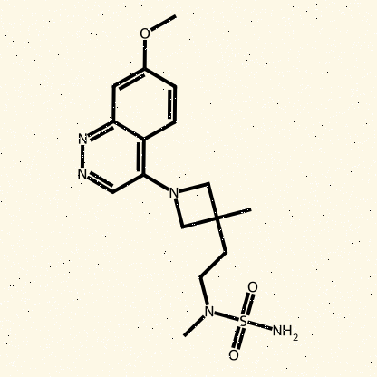 COc1ccc2c(N3CC(C)(CCN(C)S(N)(=O)=O)C3)cnnc2c1